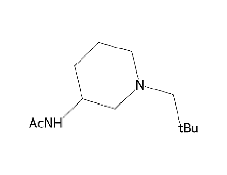 CC(=O)NC1CCCN(CC(C)(C)C)C1